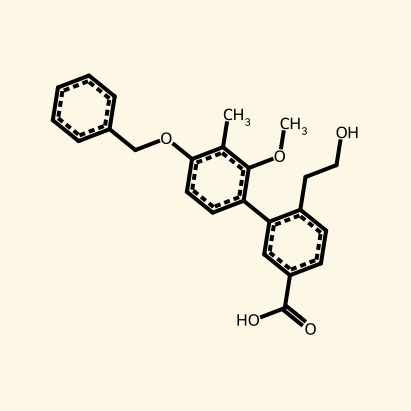 COc1c(-c2cc(C(=O)O)ccc2CCO)ccc(OCc2ccccc2)c1C